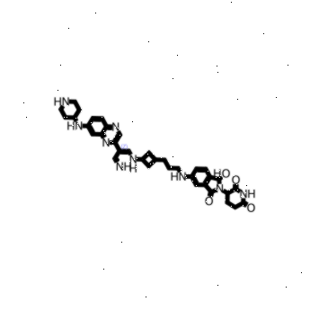 N=C/C(=C\NC1CC(CCCNc2ccc3c(c2)C(=O)N(C2CCC(=O)NC2=O)C3O)C1)c1cnc2ccc(NC3CCNCC3)cc2n1